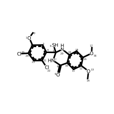 COc1cc(C2(S)NC(=O)c3cc(OC)c(OC)cc3N2)c(Cl)cc1Cl